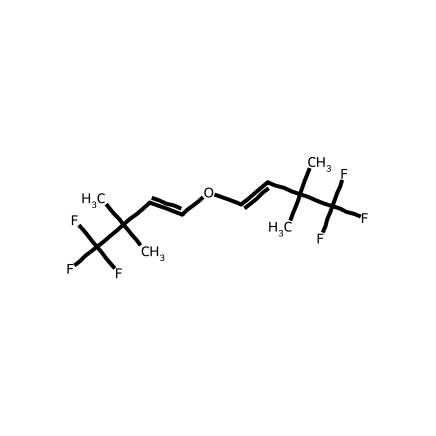 CC(C)(C=COC=CC(C)(C)C(F)(F)F)C(F)(F)F